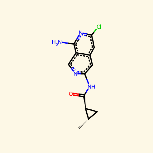 C[C@H]1C[C@@H]1C(=O)Nc1cc2cc(Cl)nc(N)c2cn1